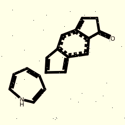 C1=CC=CNC=C1.O=C1CC=c2cc3c(cc21)=CC=C3